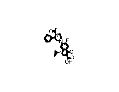 CC(=O)N1CCN(c2cc3c(cc2F)c(=O)c(C(=O)O)cn3C2CC2)CC1c1ccccc1